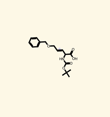 CC(C)(C)OC(=O)NC(/C=C/COCc1ccccc1)C(=O)O